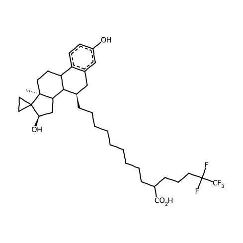 C[C@]12CCC3c4ccc(O)cc4C[C@@H](CCCCCCCCCC(CCCC(F)(F)C(F)(F)F)C(=O)O)C3C1C[C@@H](O)C21CC1